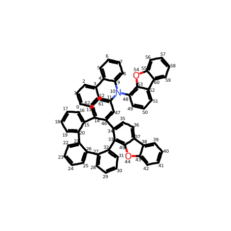 c1ccc(-c2ccccc2N(c2ccc3c4ccccc4c4ccccc4c4ccccc4c4c(ccc5c6ccccc6oc54)c3c2)c2cccc3c2oc2ccccc23)cc1